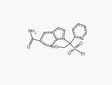 CCS(=O)(=O)C(CO)(c1ccccn1)n1ccc2cc(C(N)=O)ccc21